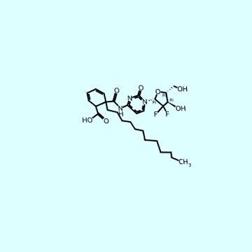 CCCCCCCCCCCCC1(C(=O)Nc2ccn([C@@H]3O[C@H](CO)[C@@H](O)C3(F)F)c(=O)n2)C=CC=CC1C(=O)O